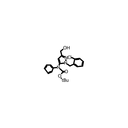 CC(C)(C)OC(=O)N(c1ccccc1)c1cc(CO)nn1Cc1ccccc1Cl